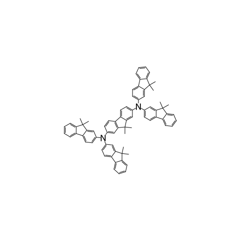 CC1(C)c2ccccc2-c2ccc(N(c3ccc4c(c3)C(C)(C)c3ccccc3-4)c3ccc4c(c3)C(C)(C)c3cc(N(c5ccc6c(c5)C(C)(C)c5ccccc5-6)c5ccc6c(c5)C(C)(C)c5ccccc5-6)ccc3-4)cc21